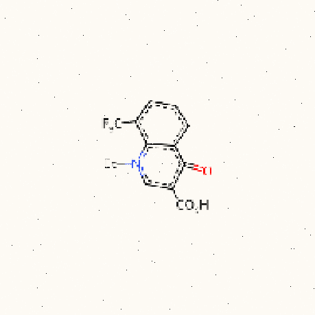 CCn1cc(C(=O)O)c(=O)c2cccc(C(F)(F)F)c21